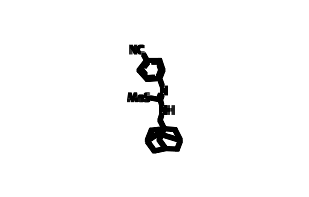 CS/C(=N\c1ccc(C#N)cc1)NCC12CC3CC(CC(C3)C1)C2